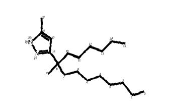 CCCCCCCCC(C)(CCCCCC)c1cc(C)[nH]n1